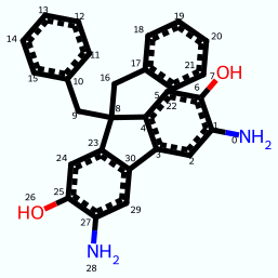 Nc1cc2c(cc1O)C(Cc1ccccc1)(Cc1ccccc1)c1cc(O)c(N)cc1-2